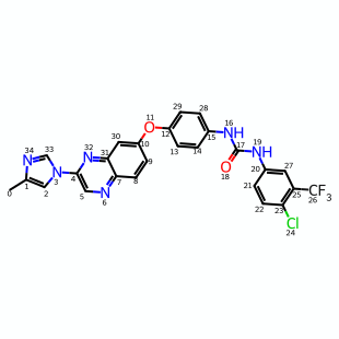 Cc1cn(-c2cnc3ccc(Oc4ccc(NC(=O)Nc5ccc(Cl)c(C(F)(F)F)c5)cc4)cc3n2)cn1